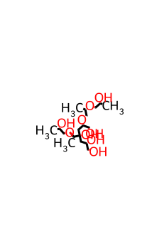 CC(O)COC(C)COC(CO)CC(O)(CC(O)CO)C(C)OCC(C)O